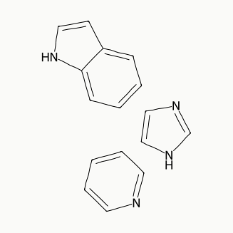 c1c[nH]cn1.c1ccc2[nH]ccc2c1.c1ccncc1